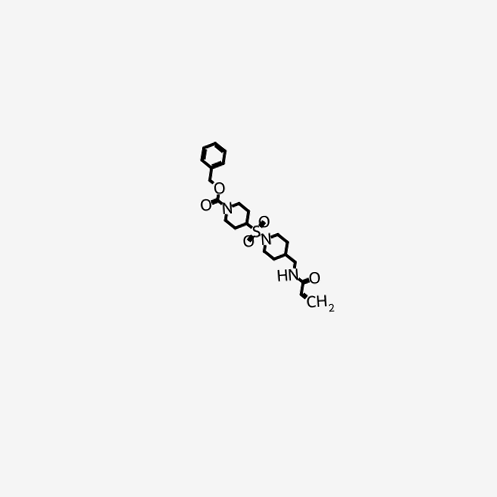 C=CC(=O)NCC1CCN(S(=O)(=O)C2CCN(C(=O)OCc3ccccc3)CC2)CC1